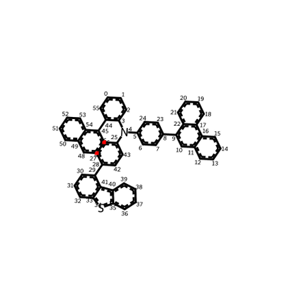 c1ccc(N(c2ccc(-c3cc4ccccc4c4ccccc34)cc2)c2ccc(-c3cccc4sc5ccccc5c34)cc2)c(-c2cccc3ccccc23)c1